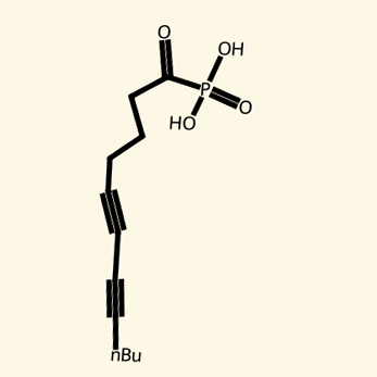 CCCCC#CC#CCCCC(=O)P(=O)(O)O